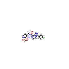 CS(=O)(=O)c1cc(C2(NC(=O)c3nccn4c(-c5ccc(F)cc5)ncc34)CC2)ccn1